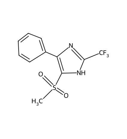 CS(=O)(=O)c1[nH]c(C(F)(F)F)nc1-c1ccccc1